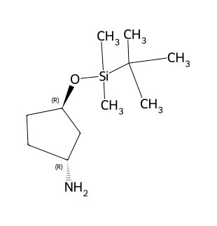 CC(C)(C)[Si](C)(C)O[C@@H]1CC[C@@H](N)C1